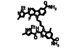 CCn1nc(C)cc1C(=O)Nc1nc2cc(C(N)=O)cc(C)c2n1CC=CCn1c2ccc(C(N)=O)cc2c2cnc(-c3cc(C)nn3CC)c(F)c21